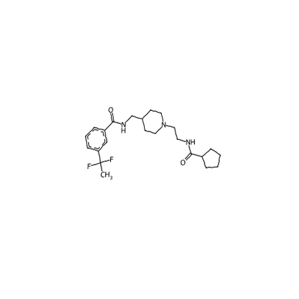 CC(F)(F)c1cccc(C(=O)NCC2CCN(CCNC(=O)C3CCCC3)CC2)c1